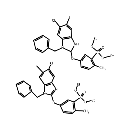 CCOP(=O)(OCC)c1cc(OC2Nc3cc(I)c(Cl)cc3N2Cc2ccccc2)ccc1C.CCOP(=O)(OCC)c1cc(Oc2nc3cc(Cl)c(I)cc3n2Cc2ccccc2)ccc1C